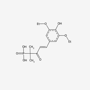 CCOc1cc(/C=C/C(=O)C(C)(C)P(=O)(O)O)cc(OCC)c1O